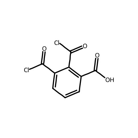 O=C(O)c1cccc(C(=O)Cl)c1C(=O)Cl